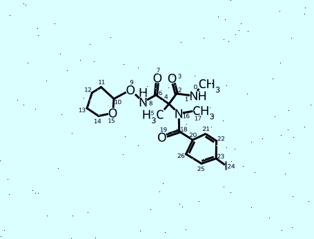 CNC(=O)C(C)(C(=O)NOC1CCCCO1)N(C)C(=O)c1ccc(I)cc1